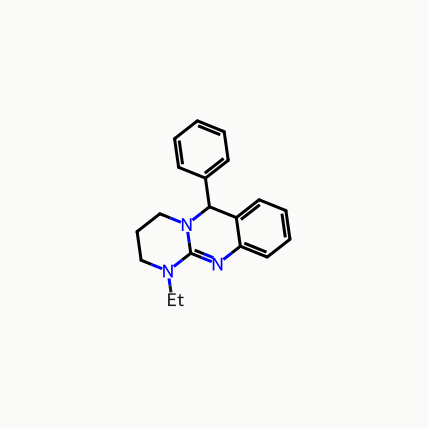 CCN1CCCN2C1=Nc1ccccc1C2c1ccccc1